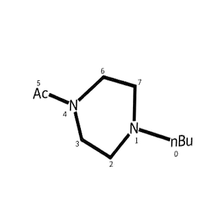 CCCCN1CCN(C(C)=O)CC1